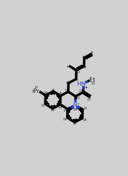 C=C/C=C(\C)CCC1c2cc(C(C)C)ccc2-c2cccc[n+]2C1C(=C)NCC